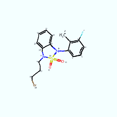 Cc1c(F)cccc1N1c2ccccc2N(CCCBr)S1(=O)=O